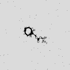 N#P(P)OC(=O)OC[C@@H]1[C@@H]2CCC#CCC[C@@H]21